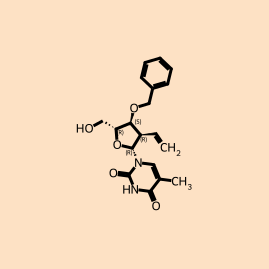 C=C[C@@H]1[C@H](OCc2ccccc2)[C@@H](CO)O[C@H]1n1cc(C)c(=O)[nH]c1=O